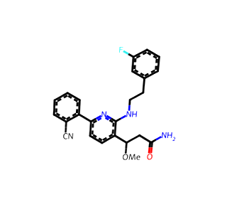 COC(CC(N)=O)c1ccc(-c2ccccc2C#N)nc1NCCc1cccc(F)c1